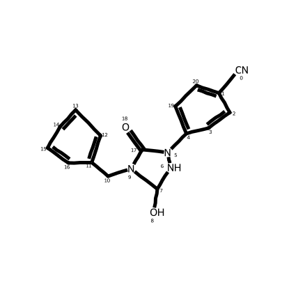 N#Cc1ccc(N2NC(O)N(Cc3ccccc3)C2=O)cc1